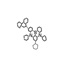 c1ccc(N2c3ccccc3B3c4ccc(-c5cc6ccccc6c6ccccc56)cc4N(c4ccccc4)c4cc(C5CCCCC5)cc2c43)cc1